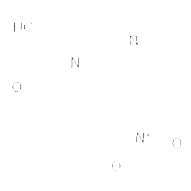 O=C(O)N1C=NC=C([N+](=O)[O-])C1